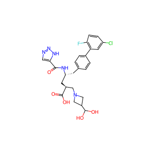 O=C(N[C@H](Cc1ccc(-c2cc(Cl)ccc2F)cc1)C[C@@H](CN1CC(C(O)O)C1)C(=O)O)c1cnn[nH]1